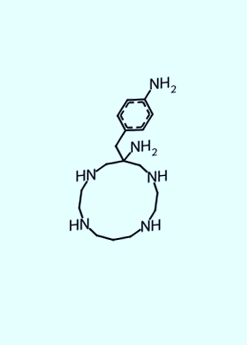 Nc1ccc(CC2(N)CNCCNCCCNCCNC2)cc1